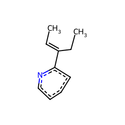 CC=C(CC)c1ccccn1